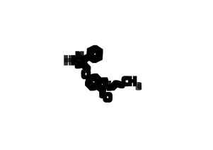 CCCCN1Cc2cc(OCc3c[nH]nc3-c3ccccc3)ccc2C1C=O